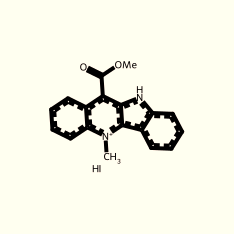 COC(=O)c1c2ccccc2[n+](C)c2c1[nH]c1ccccc12.I